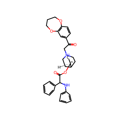 O=C(C[N+]12CCC(CC1)[C@@H](OC(=O)C(Nc1ccccc1)c1ccccc1)C2)c1ccc2c(c1)OCCCO2